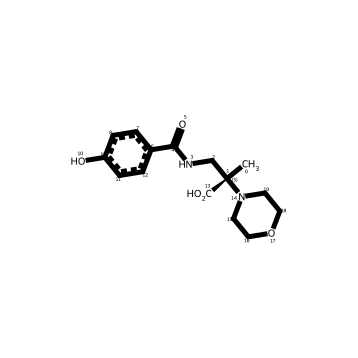 C[C@](CNC(=O)c1ccc(O)cc1)(C(=O)O)N1CCOCC1